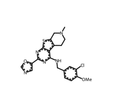 COc1ccc(CNc2nc(-c3cnco3)nc3sc4c(c23)CCN(C)C4)cc1Cl